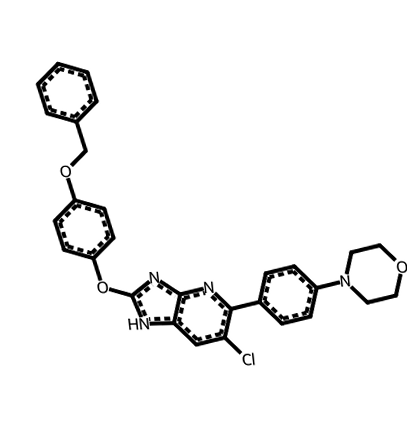 Clc1cc2[nH]c(Oc3ccc(OCc4ccccc4)cc3)nc2nc1-c1ccc(N2CCOCC2)cc1